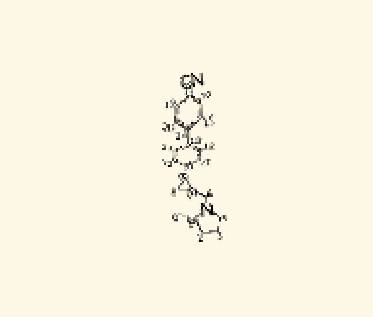 C[C@H]1CCCN1C[C@H]1C[C@@H]1c1ccc(-c2ccc(C#N)cc2)cc1